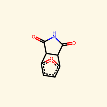 O=C1NC(=O)C2c3ccc(o3)C12